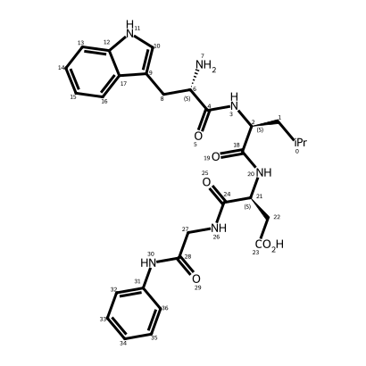 CC(C)C[C@H](NC(=O)[C@@H](N)Cc1c[nH]c2ccccc12)C(=O)N[C@@H](CC(=O)O)C(=O)NCC(=O)Nc1ccccc1